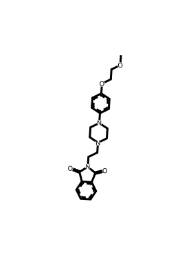 COCCOc1ccc(N2CCN(CCN3C(=O)c4ccccc4C3=O)CC2)cc1